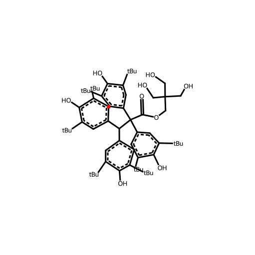 CC(C)(C)c1cc(C(c2cc(C(C)(C)C)c(O)c(C(C)(C)C)c2)C(C(=O)OCC(CO)(CO)CO)(c2cc(C(C)(C)C)c(O)c(C(C)(C)C)c2)c2cc(C(C)(C)C)c(O)c(C(C)(C)C)c2)cc(C(C)(C)C)c1O